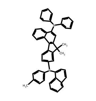 Cc1ccc(N(c2ccc3c(c2)C(C)(C)c2cc(N(c4ccccc4)c4ccccc4)c4ccccc4c2-3)c2cccc3ccccc23)cc1